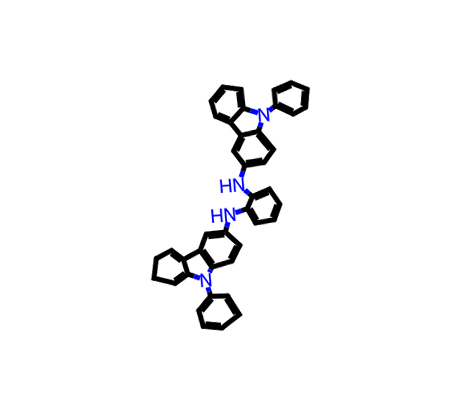 C1=c2c(n(-c3ccccc3)c3ccc(Nc4ccccc4Nc4ccc5c(c4)c4ccccc4n5-c4ccccc4)cc23)=CCC1